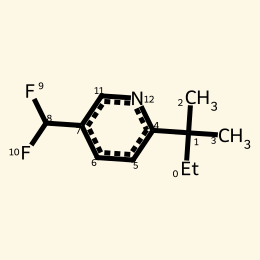 CCC(C)(C)c1ccc(C(F)F)cn1